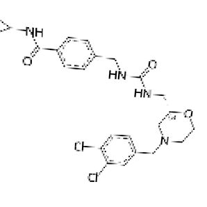 O=C(NCc1ccc(C(=O)NC2CC2)cc1)NC[C@H]1CN(Cc2ccc(Cl)c(Cl)c2)CCO1